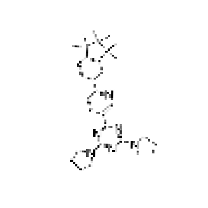 CC1(C)c2ccc(-c3ccc(-c4nc(N5CCCC5)nc(N5CCCC5)n4)cn3)cc2C(C)(C)C1(C)C